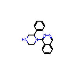 c1ccc(C2CNCCN2c2nncc3ccccc23)cc1